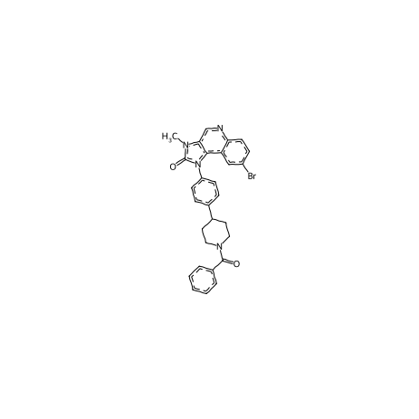 Cn1c(=O)n(-c2ccc(C3CCN(C(=O)c4ccccc4)CC3)cc2)c2c3cc(Br)ccc3ncc21